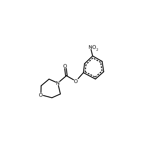 O=C(Oc1cccc([N+](=O)[O-])c1)N1CCOCC1